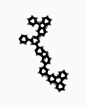 c1ccc(-c2nc(-c3ccc4c(c3)oc3ccc(-c5cccc(-c6ccc7c8ccccc8c8ccccc8c7c6)c5)cc34)nc(-c3ccc4c5ccccc5n(-c5ccccc5)c4c3)n2)cc1